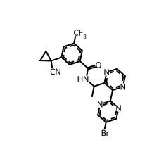 CC(NC(=O)c1cc(C(F)(F)F)cc(C2(C#N)CC2)c1)c1nccnc1-c1ncc(Br)cn1